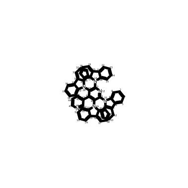 C1=Cc2c(c3ccccc3n2-c2nc(-n3c4ccccc4c4ccccc43)c(-n3c4ccccc4c4ccccc43)c(-c3cccnc3)c2-n2c3ccccc3c3ccccc32)CC1